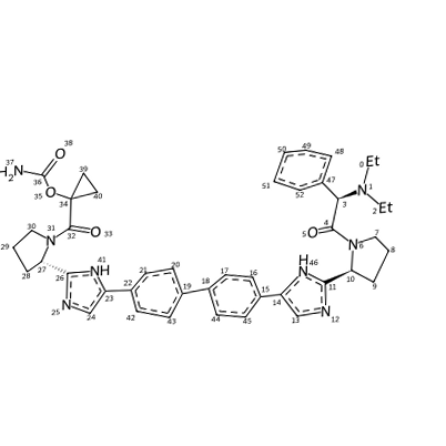 CCN(CC)[C@@H](C(=O)N1CCC[C@H]1c1ncc(-c2ccc(-c3ccc(-c4cnc([C@@H]5CCCN5C(=O)C5(OC(N)=O)CC5)[nH]4)cc3)cc2)[nH]1)c1ccccc1